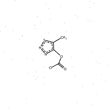 Cc1snnc1OC(=O)Cl